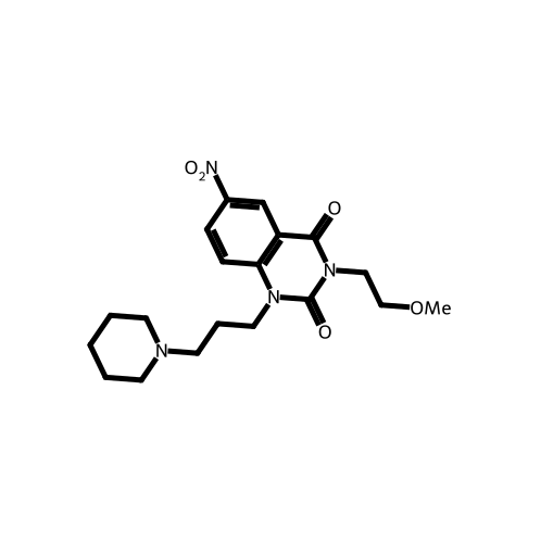 COCCn1c(=O)c2cc([N+](=O)[O-])ccc2n(CCCN2CCCCC2)c1=O